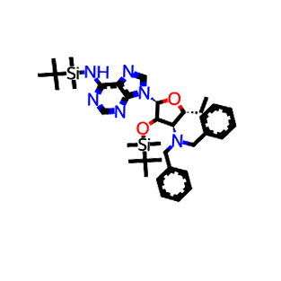 CC[C@H]1O[C@@H](n2cnc3c(N[Si](C)(C)C(C)(C)C)ncnc32)C(O[Si](C)(C)C(C)(C)C)[C@H]1N(Cc1ccccc1)Cc1ccccc1